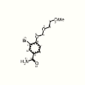 COCCOCOc1ccc(C(N)=O)cc1Br